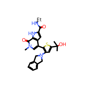 CCNC(=O)c1cc2c(-c3sc(C(C)(C)O)cc3N3Cc4ccccc4C3)cn(C)c(=O)c2[nH]1